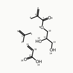 C=C(C)C.C=C(C)C(=O)OCC(O)CO.C=CC(=O)O